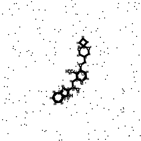 Cc1c(OCC2COC3(CCC3)OC2)ccnc1C[S+]([O-])c1nc2ccccc2[nH]1